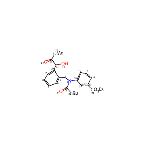 CCCCC(=O)N(Cc1ccccc1C(O)C(=O)OC)c1cccc(C(=O)OCC)c1